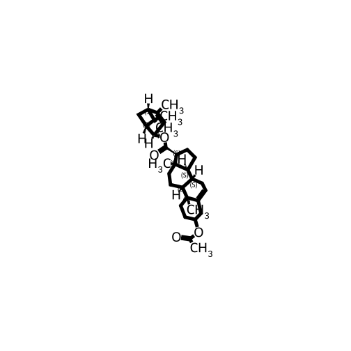 CC(=O)OC1CC[C@@]2(C)C(=CC[C@H]3[C@@H]4CC[C@H](C(=O)O[C@@H]5C=C(C)[C@H]6C[C@@H]5C6(C)C)[C@@]4(C)CC[C@@H]32)C1